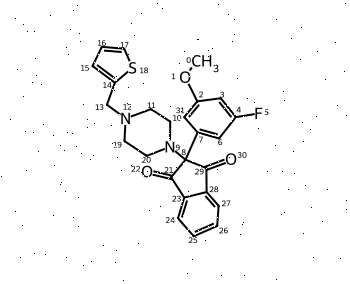 COc1cc(F)cc(C2(N3CCN(Cc4cccs4)CC3)C(=O)c3ccccc3C2=O)c1